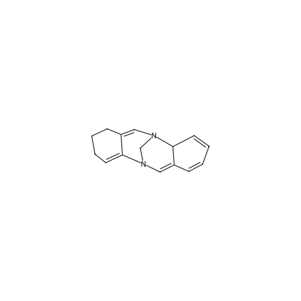 C1=CC2=CN3CN(C=C4CCCC=C43)C2C=C1